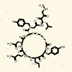 CC[C@H](C)C1NN[C@@H](CCC(N)=O)C(=O)N[C@@H](CC(N)=O)C(=O)N[C@H](C(=O)N(CC(=O)N[C@@H](CC(C)C)C(=O)C(=O)CNN)Cc2ccc(F)cc2)CCSCCC(=O)N[C@@H](Cc2ccc(O)cc2)C(=O)C1=O